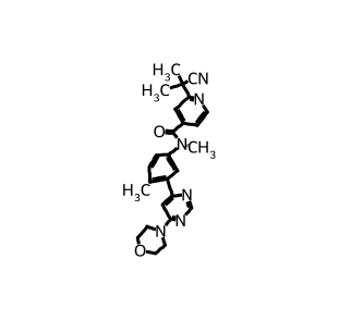 Cc1ccc(N(C)C(=O)c2ccnc(C(C)(C)C#N)c2)cc1-c1cc(N2CCOCC2)ncn1